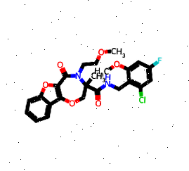 COCCN1C(=O)c2oc3ccccc3c2OCC1(C)C(=O)NCc1c(Cl)cc(F)cc1OC